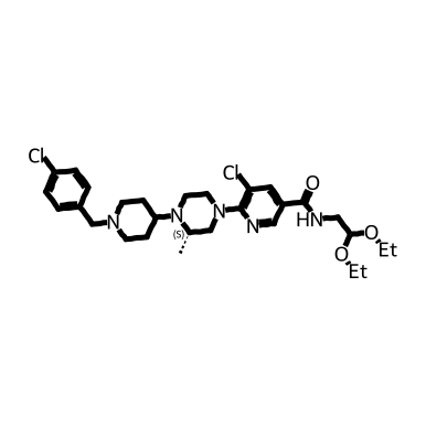 CCOC(CNC(=O)c1cnc(N2CCN(C3CCN(Cc4ccc(Cl)cc4)CC3)[C@@H](C)C2)c(Cl)c1)OCC